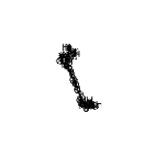 C=C(NC(c1ccncc1)C(CC)C(C)CC)C1(Nc2cccc(C(=O)NCc3ccc(OCCCCCCOCCOCCOCCCCCC(=O)Nc4cccc5c4CN(C4CCC(=O)NC4=O)C5=O)cc3)c2)CCN(C)CC1